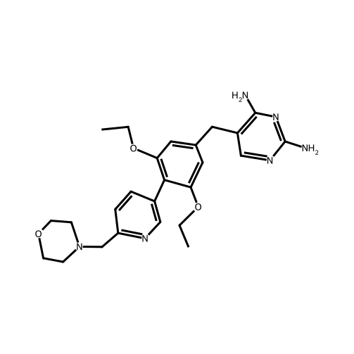 CCOc1cc(Cc2cnc(N)nc2N)cc(OCC)c1-c1ccc(CN2CCOCC2)nc1